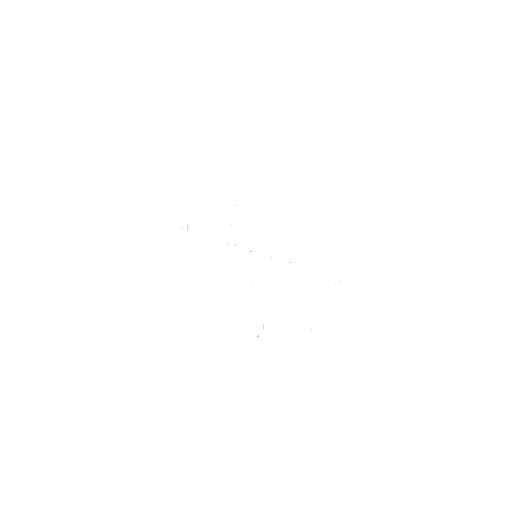 CC(C)(C)c1cccc2c1OC(c1cc3c(c(C(C)(C)C)c1)OCO3)C2